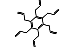 C=CCc1c(CC=C)c(CC=C)c(CC=C)c(CC=C)c1CC=C